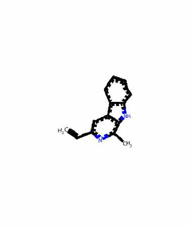 C=Cc1cc2c([nH]c3ccccc32)c(C)n1